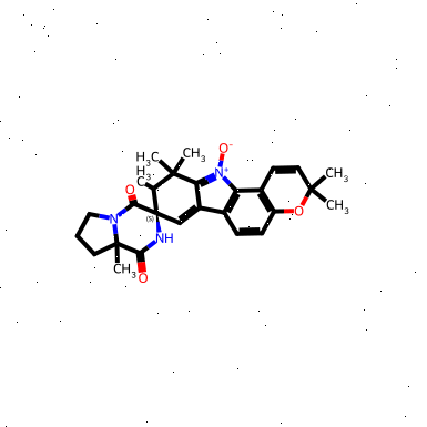 CC1C(C)(C)C2=[N+]([O-])c3c(ccc4c3C=CC(C)(C)O4)C2=C[C@@]12NC(=O)C1(C)CCCN1C2=O